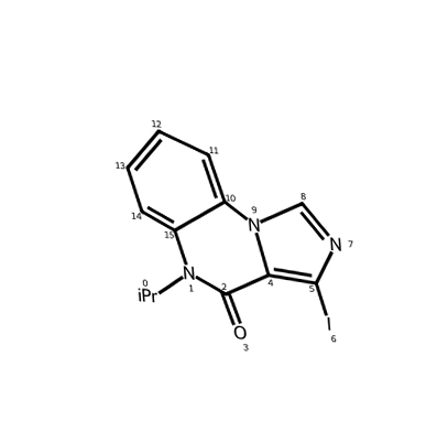 CC(C)n1c(=O)c2c(I)ncn2c2ccccc21